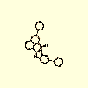 O=c1c2cc(-c3ccccc3)cc3cccc(c32)c2nc3ccc(-c4ccccc4)cc3n12